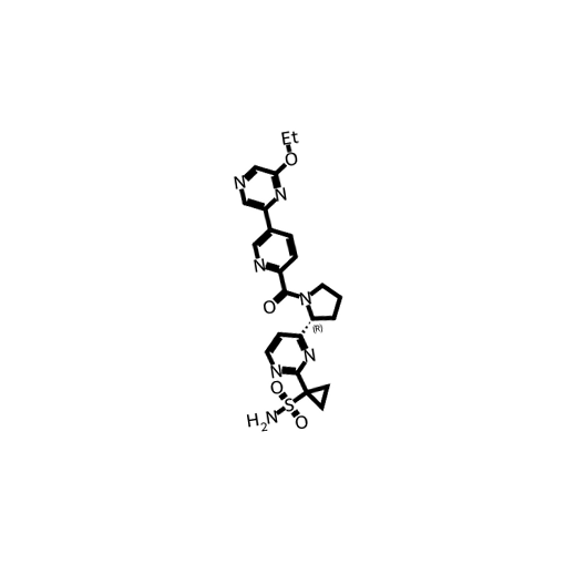 CCOc1cncc(-c2ccc(C(=O)N3CCC[C@@H]3c3ccnc(C4(S(N)(=O)=O)CC4)n3)nc2)n1